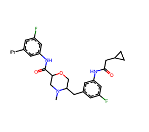 CC(C)c1cc(F)cc(NC(=O)C2CN(C)C(Cc3cc(F)cc(NC(=O)CC4CC4)c3)CO2)c1